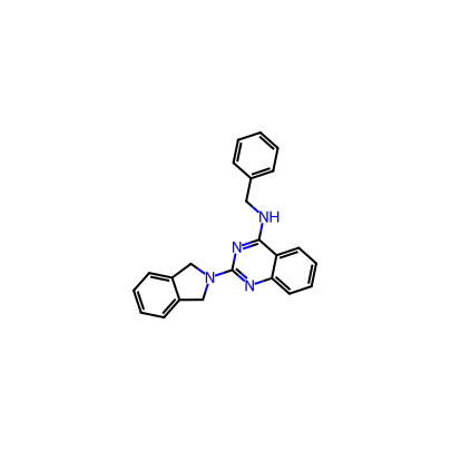 c1ccc(CNc2nc(N3Cc4ccccc4C3)nc3ccccc23)cc1